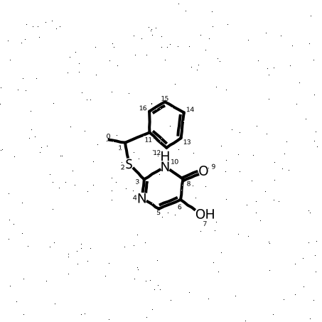 CC(Sc1ncc(O)c(=O)[nH]1)c1ccccc1